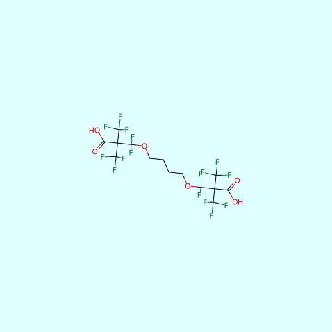 O=C(O)C(C(F)(F)F)(C(F)(F)F)C(F)(F)OCCCCOC(F)(F)C(C(=O)O)(C(F)(F)F)C(F)(F)F